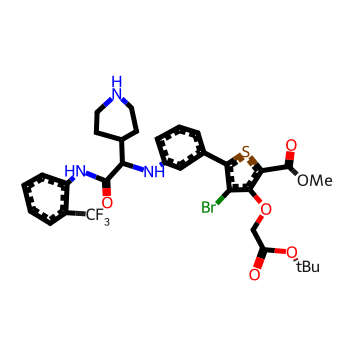 COC(=O)c1sc(-c2cccc(NC(C(=O)Nc3ccccc3C(F)(F)F)C3CCNCC3)c2)c(Br)c1OCC(=O)OC(C)(C)C